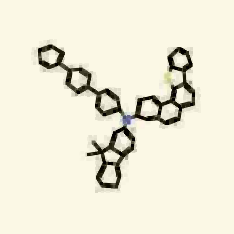 CC1(C)c2ccccc2-c2ccc(N(c3ccc(-c4ccc(-c5ccccc5)cc4)cc3)c3ccc4c(ccc5ccc6c7ccccc7sc6c54)c3)cc21